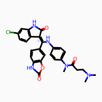 CN(C)CCC(=O)N(C)c1ccc(N/C(=C2\C(=O)Nc3cc(Cl)ccc32)c2ccc3[nH]c(=O)oc3c2)cc1